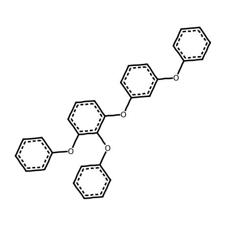 c1ccc(Oc2cccc(Oc3cccc(Oc4ccccc4)c3Oc3ccccc3)c2)cc1